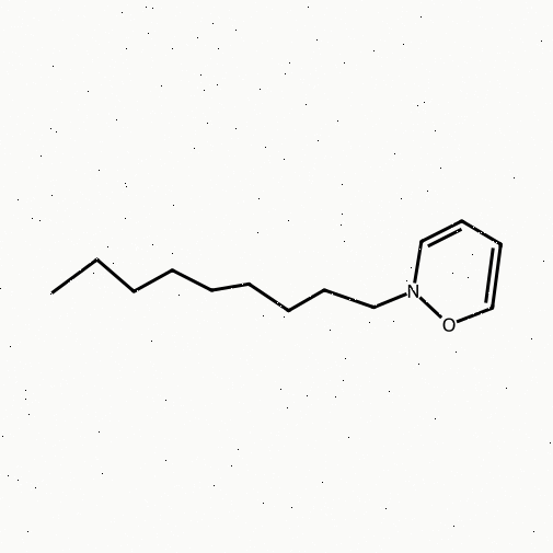 CCCCCCCCCN1C=CC=CO1